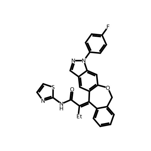 CC/C(C(=O)Nc1nccs1)=C1\c2ccccc2COc2cc3c(cnn3-c3ccc(F)cc3)cc21